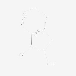 CC1=CC23C=CC=CC2(CC=C3)[S+]1[O-]